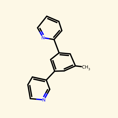 Cc1cc(-c2cccnc2)cc(-c2ccccn2)c1